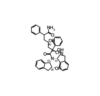 C[C@](C[C@H](O)CC(C(N)=O)c1ccccc1)(C(=O)N([C@H]1c2ccccc2C[C@H]1O)[C@H]1c2ccccc2C[C@H]1O)c1ccccc1